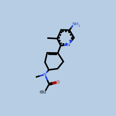 Cc1cc(N)cnc1C1=CCC(N(C)C(=O)C(C)(C)C)CC1